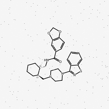 O=C(NC[C@H]1CCCC[C@@H]1CN1CCN(c2nsc3ccccc23)CC1)c1ccc2c(c1)OCO2